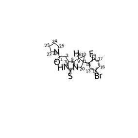 O=C(Cc1[nH]c(=S)n2c1[C@@H]1C[C@]1(c1cc(Br)ccc1F)C2)N1CCCC1